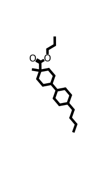 CCCCC1CCC(C2CCC(C)(C(=O)OCCC)CC2)CC1